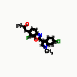 CC(C)C(=O)Cc1ccc2nc(-c3cn(C)c4cc(Cl)ccc34)oc2c1F